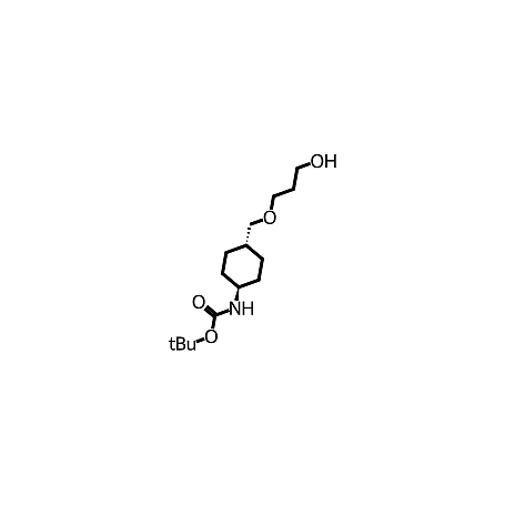 CC(C)(C)OC(=O)N[C@H]1CC[C@H](COCCCO)CC1